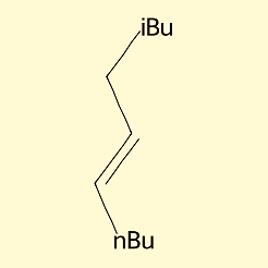 CCCCC=CCC(C)CC